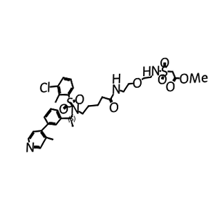 COC(=O)CS(=O)(=O)NCCOCCNC(=O)CCCCN([C@@H](C)c1cccc(-c2ccncc2C)c1)S(=O)(=O)c1cccc(Cl)c1C